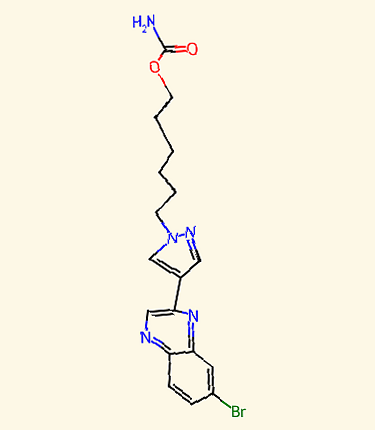 NC(=O)OCCCCCCn1cc(-c2cnc3ccc(Br)cc3n2)cn1